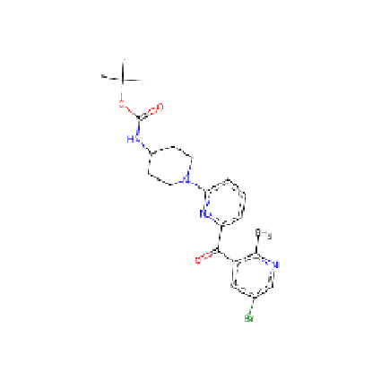 Bc1ncc(Br)cc1C(=O)c1cccc(N2CCC(NC(=O)OC(C)(C)C)CC2)n1